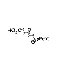 CCCCCC(=O)CCC(=O)CCC(=O)O